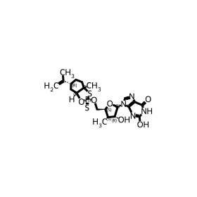 C=C(C)[C@@H]1CC[C@]2(C)S[P@@](=S)(OC[C@H]3O[C@@H](n4cnc5c(=O)[nH]c(O)nc54)[C@H](O)[C@@H]3C)O[C@H]2C1